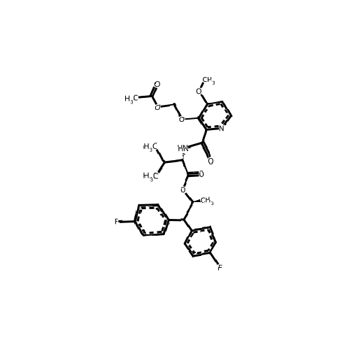 COc1ccnc(C(=O)N[C@H](C(=O)O[C@@H](C)C(c2ccc(F)cc2)c2ccc(F)cc2)C(C)C)c1OCOC(C)=O